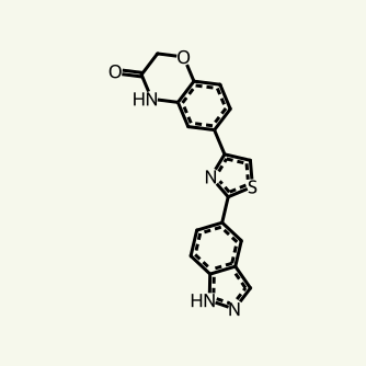 O=C1COc2ccc(-c3csc(-c4ccc5[nH]ncc5c4)n3)cc2N1